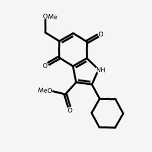 COCC1=CC(=O)c2[nH]c(C3CCCCC3)c(C(=O)OC)c2C1=O